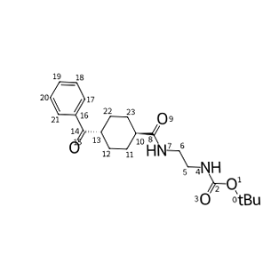 CC(C)(C)OC(=O)NCCNC(=O)[C@H]1CC[C@H](C(=O)c2ccccc2)CC1